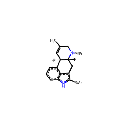 CCCN1CC(C)=C[C@@H]2c3cccc4[nH]c(SC)c(c34)C[C@H]21